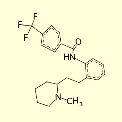 CN1CCCCC1CCc1ccccc1NC(=O)c1ccc(C(F)(F)F)cc1